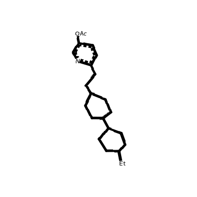 CCC1CCC(C2CCC(CCc3ccc(OC(C)=O)cn3)CC2)CC1